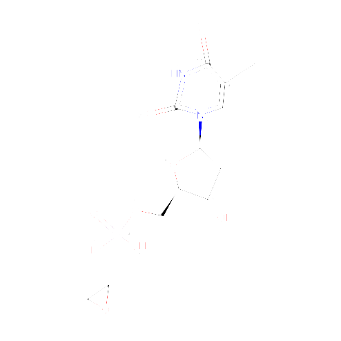 C1CO1.Cc1cn([C@H]2C[C@H](O)[C@@H](COP(=O)(O)O)O2)c(=O)[nH]c1=O